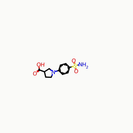 NS(=O)(=O)c1ccc(N2CCC(C(=O)O)C2)cc1